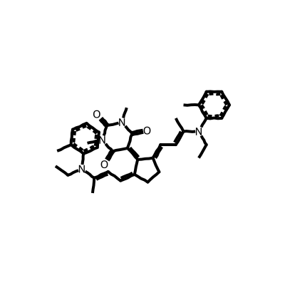 CCN(/C(C)=C/C=C1/CC/C(=C\C=C(/C)N(CC)c2ccccc2C)C1=C1C(=O)N(C)C(=O)N(C)C1=O)c1ccccc1C